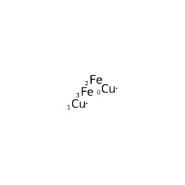 [Cu].[Cu].[Fe].[Fe]